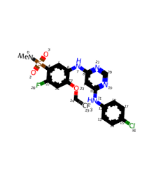 CNS(=O)(=O)c1cc(Nc2cc(Nc3ccc(Cl)cc3)ncn2)c(OCC(F)(F)F)cc1F